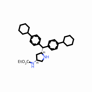 CCOC(=O)N[C@H]1CN[C@@H](C(c2ccc(C3CCCCC3)cc2)c2ccc(C3CCCCC3)cc2)C1